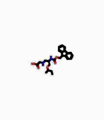 CCC(C)OC[C@@H](CNCC(=O)O)NC(=O)OCC1c2ccccc2-c2ccccc21